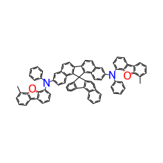 Cc1cccc2c1oc1c(N(c3ccccc3)c3ccc4c5c(ccc4c3)-c3ccc4cc(N(c6ccccc6)c6cccc7c6oc6c(C)cccc67)ccc4c3C53c4ccccc4-c4c3ccc3ccccc43)cccc12